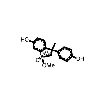 COP(=O)(CC(C)(c1ccc(O)cc1)c1ccc(O)cc1)OC